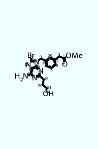 COC(=O)Cc1cccc(Cn2c(Br)nc3c(N)nc(CCCO)nc32)c1